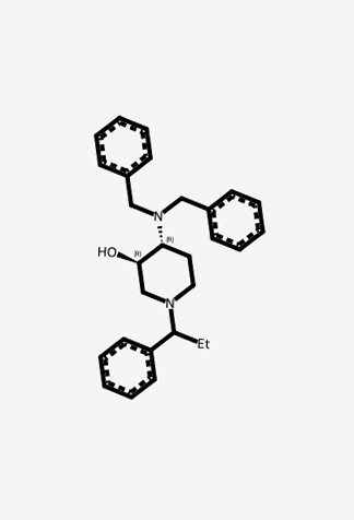 CCC(c1ccccc1)N1CC[C@@H](N(Cc2ccccc2)Cc2ccccc2)[C@H](O)C1